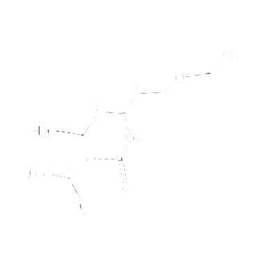 CCOCCC(OCC)OC(=O)OC(C)Cl